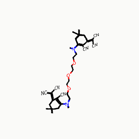 CN(CCOCCOCCOCCN(C)C1=C(C#N)C(=C(C#N)C#N)CC(C)(C)C1)C1=C(C#N)C(=C(C#N)C#N)CC(C)(C)C1